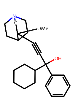 COC1(C#CC(O)(c2ccccc2)C2CCCCC2)CN2CCC1CC2